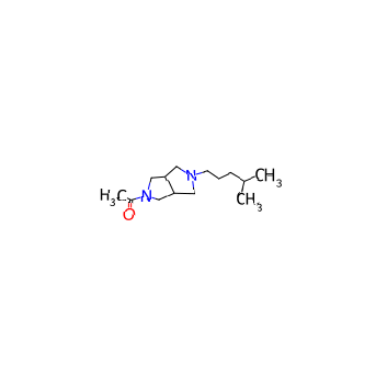 CC(=O)N1CC2CN(CCCC(C)C)CC2C1